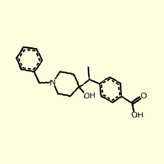 CC(c1ccc(C(=O)O)cc1)C1(O)CCN(Cc2ccccc2)CC1